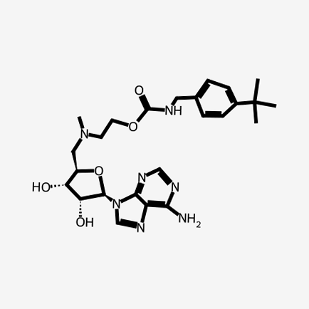 CN(CCOC(=O)NCc1ccc(C(C)(C)C)cc1)C[C@H]1O[C@@H](n2cnc3c(N)ncnc32)[C@H](O)[C@@H]1O